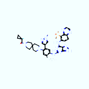 COc1cc(N2CCC3(CCN(C(=O)C4(F)CC4)CC3)CC2)c(-c2cnn(C)c2)cc1Nc1nc(Nc2ccc3nccnc3c2P(C)(C)=O)c2nc[nH]c2n1